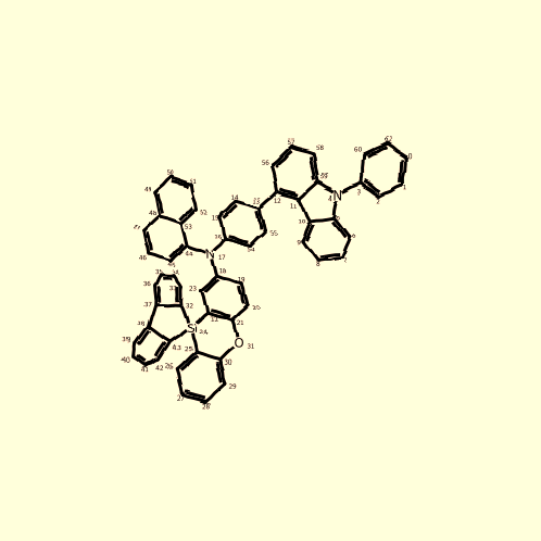 c1ccc(-n2c3ccccc3c3c(-c4ccc(N(c5ccc6c(c5)[Si]5(c7ccccc7O6)c6ccccc6-c6ccccc65)c5cccc6ccccc56)cc4)cccc32)cc1